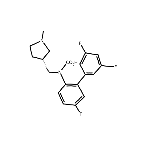 CN1CC[C@@H](CN(C(=O)O)c2ccc(F)cc2-c2cc(F)cc(F)c2)C1